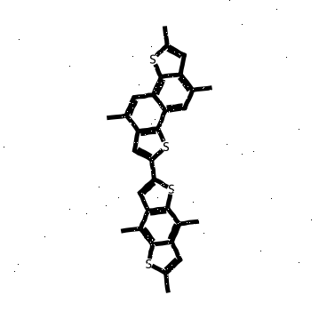 Cc1cc2c(C)c3sc(-c4cc5c(C)cc6c(cc(C)c7cc(C)sc76)c5s4)cc3c(C)c2s1